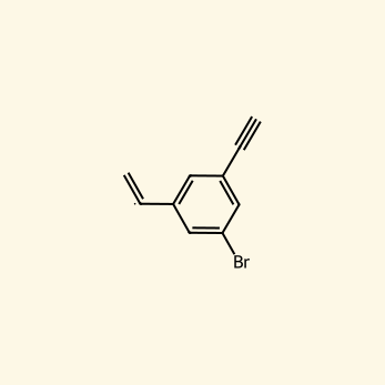 C#Cc1cc(Br)cc([C]=C)c1